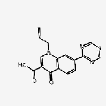 C=CCn1cc(C(=O)O)c(=O)c2ccc(-c3ncncn3)cc21